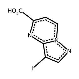 O=C(O)c1ccn2ncc(I)c2n1